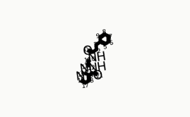 O=C(CCc1ccccc1)NCc1nc2ncccc2c(=O)[nH]1